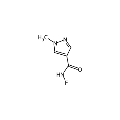 Cn1cc(C(=O)NF)cn1